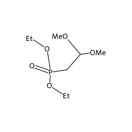 CCOP(=O)(CC(OC)OC)OCC